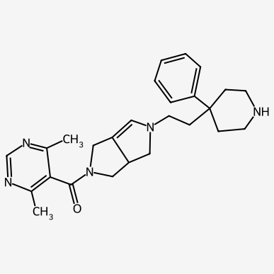 Cc1ncnc(C)c1C(=O)N1CC2=CN(CCC3(c4ccccc4)CCNCC3)CC2C1